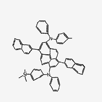 Cc1ccc(N(c2ccccc2)c2cc(-c3ccc4ccccc4c3)c3ccc4c(N(c5ccccc5)c5ccc([Si](C)(C)C)cc5)cc(-c5ccc6ccccc6c5)c5ccc2c3c54)cc1